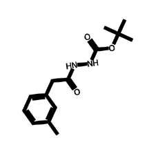 Cc1cccc(CC(=O)NNC(=O)OC(C)(C)C)c1